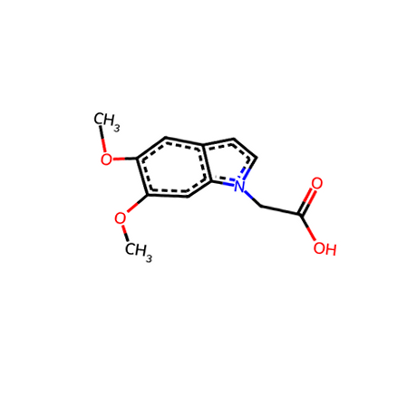 COc1cc2ccn(CC(=O)O)c2cc1OC